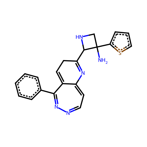 NC1(c2cccs2)CNC1C1=NC2=CC=NN=C(c3ccccc3)C2=CC1